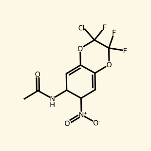 CC(=O)NC1C=C2OC(F)(Cl)C(F)(F)OC2=CC1[N+](=O)[O-]